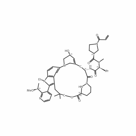 C=CC(=O)N1CC[C@H](C(=O)N(C)[C@H](C(=O)N[C@H]2CC3=C[C@H](O)CN(C3)c3ccc4c(c3)c(c(-c3cccnc3[C@H](C)OC)n4CC)CC(C)(C)COC(=O)[C@@H]3CCCN(N3)C2=O)C(C)C)C1